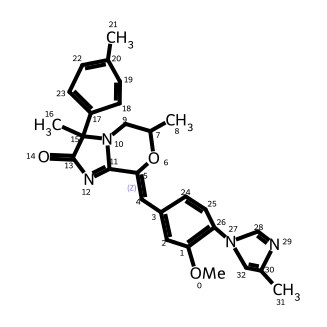 COc1cc(/C=C2\OC(C)CN3C2=NC(=O)C3(C)c2ccc(C)cc2)ccc1-n1cnc(C)c1